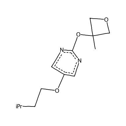 CC(C)CCOc1cnc(OC2(C)COC2)nc1